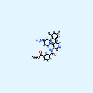 COC(=O)c1cccc(C(=O)Nc2cncc(-c3cc(C)cc(C)c3)c2N2CCC(N)CC2)c1